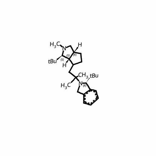 CN1C[C@@H]2CCC(CC(C)(C)N3Cc4ccccc4[C@H]3C(C)(C)C)[C@@H]2[C@H]1C(C)(C)C